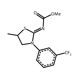 COC(=O)N=C1SC(C)CN1c1cccc(C(F)(F)F)c1